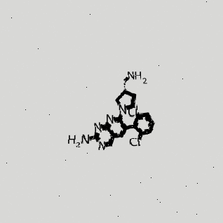 NC[C@@H]1CCN(c2nc3nc(N)ncc3cc2-c2c(Cl)cccc2Cl)C1